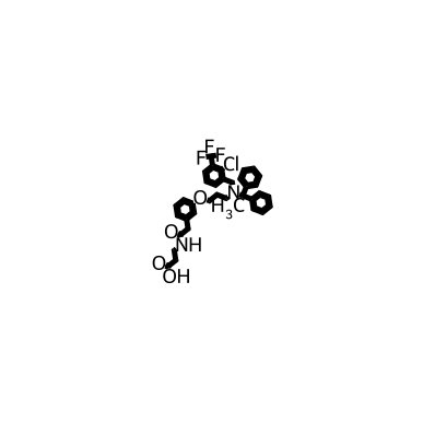 CC(c1ccccc1)(c1ccccc1)N(CCCOc1cccc(CC(=O)NCCC(=O)O)c1)Cc1cccc(C(F)(F)F)c1Cl